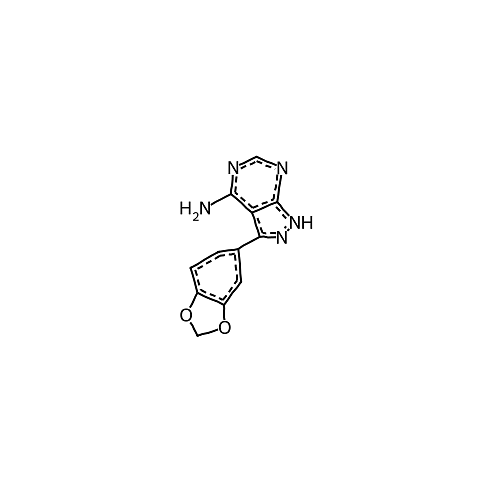 Nc1ncnc2[nH]nc(-c3ccc4c(c3)OCO4)c12